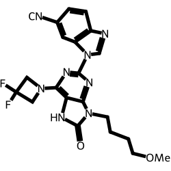 [C-]#[N+]c1ccc2ncn(-c3nc(N4CC(F)(F)C4)c4[nH]c(=O)n(CCCCOC)c4n3)c2c1